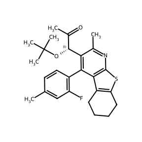 CC(=O)[C@@H](OC(C)(C)C)c1c(C)nc2sc3c(c2c1-c1ccc(C)cc1F)CCCC3